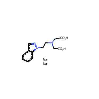 O=C(O)CN(CCn1ncc2ccccc21)CC(=O)O.[Na].[Na]